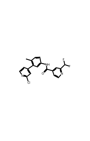 Cc1ccc(NC(=O)c2ccnc(C(F)F)c2)cc1-c1ccnc(Cl)c1